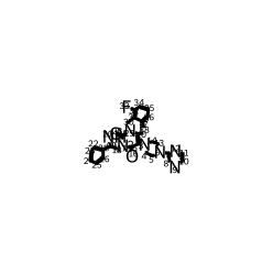 Cc1c(N2CCN(c3cnccn3)CC2)c(=O)n(C[C@H](N)c2ccccc2)c(=O)n1Cc1c(F)cccc1F